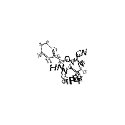 CC(C)CN(NC(=O)c1ccccc1)c1nc(C#N)ncc1Br